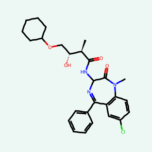 C[C@@H](C(=O)NC1N=C(c2ccccc2)c2cc(Cl)ccc2N(C)C1=O)[C@H](O)COC1CCCCC1